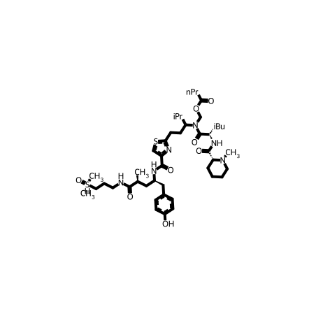 CCCC(=O)OCN(C(=O)[C@@H](NC(=O)[C@H]1CCCCN1C)[C@@H](C)CC)C(CCc1nc(C(=O)N[C@@H](Cc2ccc(O)cc2)C[C@H](C)C(=O)NCCC[SH](C)(C)=O)cs1)C(C)C